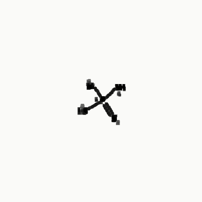 CCP(=S)(S)S